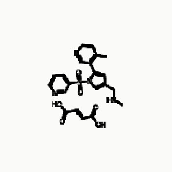 CNCc1cc(-c2cnccc2C)n(S(=O)(=O)c2cccnc2)c1.O=C(O)/C=C/C(=O)O